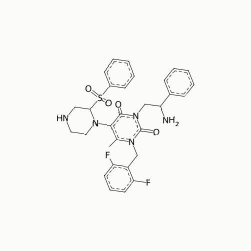 Cc1c(N2CCNCC2S(=O)(=O)c2ccccc2)c(=O)n(CC(N)c2ccccc2)c(=O)n1Cc1c(F)cccc1F